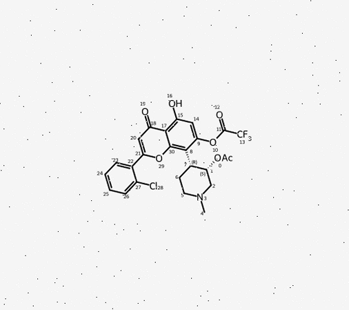 CC(=O)O[C@@H]1CN(C)CC[C@@H]1c1c(OC(=O)C(F)(F)F)cc(O)c2c(=O)cc(-c3ccccc3Cl)oc12